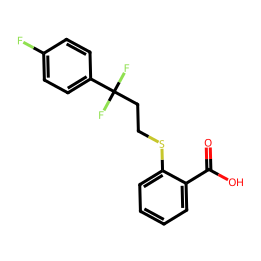 O=C(O)c1ccccc1SCCC(F)(F)c1ccc(F)cc1